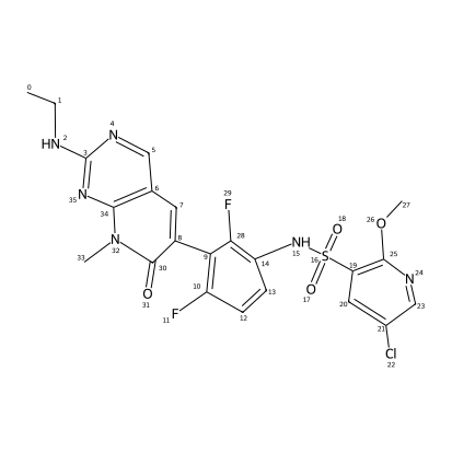 CCNc1ncc2cc(-c3c(F)ccc(NS(=O)(=O)c4cc(Cl)cnc4OC)c3F)c(=O)n(C)c2n1